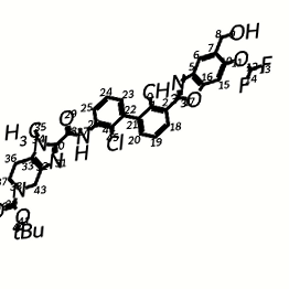 Cc1c(-c2nc3cc(CO)c(OC(F)F)cc3o2)cccc1-c1cccc(NC(=O)c2nc3c(n2C)CCN(C(=O)OC(C)(C)C)C3)c1Cl